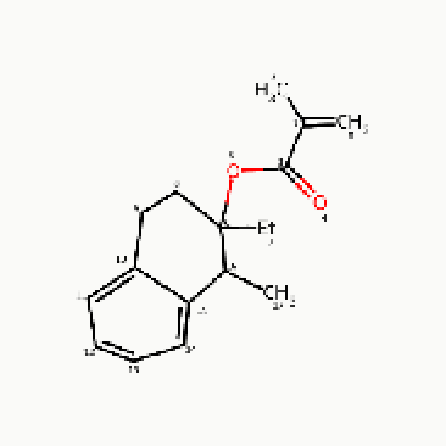 C=C(C)C(=O)OC1(CC)CCc2ccccc2C1C